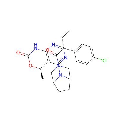 CC[C@@H](C(=O)N1CC2CCC(C1)N2c1ncnc2c1[C@@H](C)OC(=O)N2)c1ccc(Cl)cc1